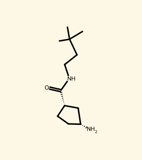 CC(C)(C)CCNC(=O)[C@H]1CC[C@@H](N)C1